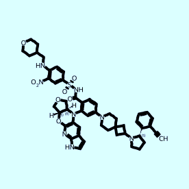 C#Cc1ccccc1[C@@H]1CCCN1C1CC2(CCN(c3ccc(C(=O)NS(=O)(=O)c4ccc(NCC5CCOCC5)c([N+](=O)[O-])c4)c(N4c5cc6cc[nH]c6nc5O[C@@H]5COC[C@H]54)c3)CC2)C1